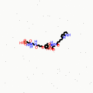 Cc1cc(OCCCC(=O)NCCNC(=O)C(N)CS(=O)(=O)O)cc(C)c1S(=O)(=O)NC(CNC(=O)CCCCc1ccc2c(n1)NCCC2)C(=O)O